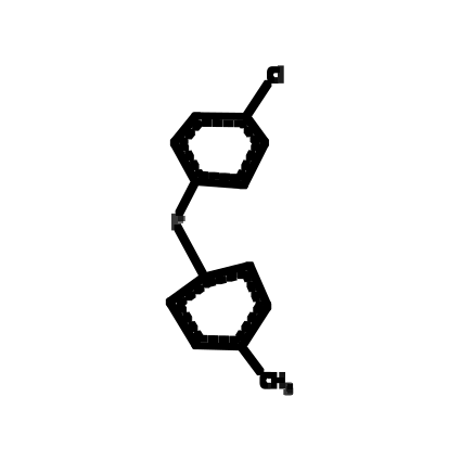 Cc1ccc([I+]c2ccc(Cl)cc2)cc1